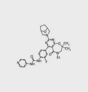 CCN1CC(C)(C)Oc2nc(N3CC4CCC(C3)O4)nc(-c3ccc(NC(=O)Nc4ccncc4)c(F)c3)c2C1=O